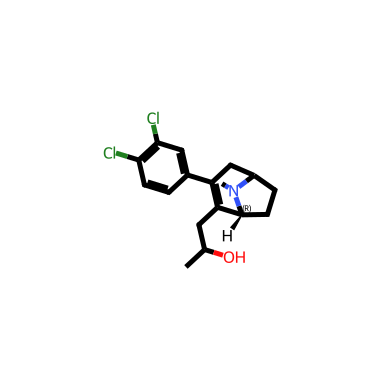 CC(O)CC1=C(c2ccc(Cl)c(Cl)c2)CC2CC[C@H]1N2C